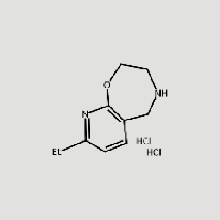 CCc1ccc2c(n1)OCCNC2.Cl.Cl